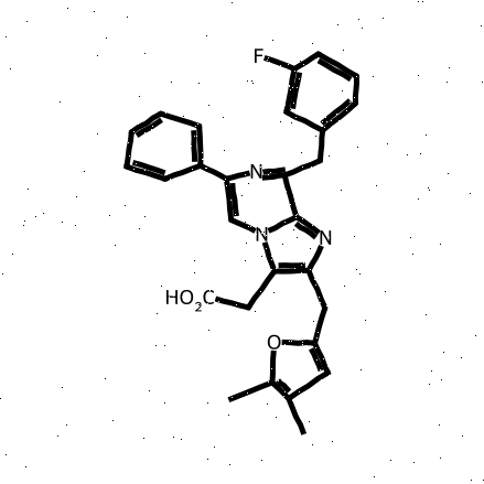 Cc1cc(Cc2nc3c(Cc4cccc(F)c4)nc(-c4ccccc4)cn3c2CC(=O)O)oc1C